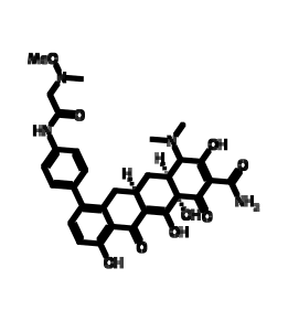 CON(C)CC(=O)Nc1ccc(-c2ccc(O)c3c2C[C@H]2C[C@H]4C(N(C)C)C(O)=C(C(N)=O)C(=O)[C@@]4(O)C(O)=C2C3=O)cc1